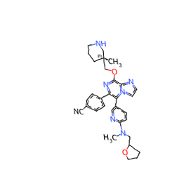 CN(CC1CCCO1)c1ccc(-c2c(-c3ccc(C#N)cc3)nc(OC[C@]3(C)CCCNC3)c3nccn23)cn1